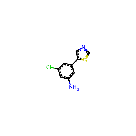 Nc1cc(Cl)cc(-c2cncs2)c1